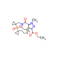 CCCC1(S(=O)(=O)C2(CN3CCc4c(C(=O)OCC)nn(C)c4C3=O)CC2)CC1